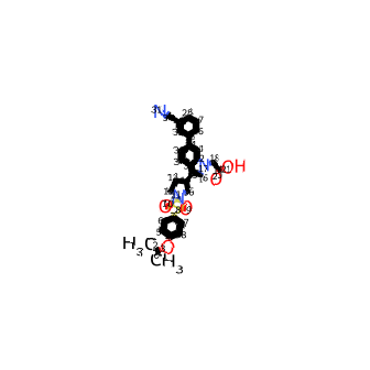 CC(C)Oc1ccc(S(=O)(=O)N2CCC(c3cn(CC(=O)O)c4cc(-c5cccc(C#N)c5)ccc34)C2)cc1